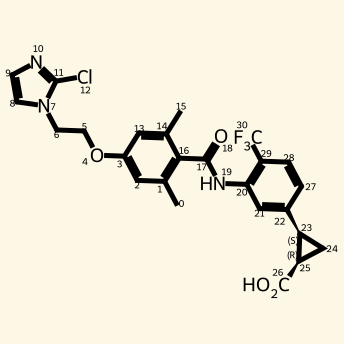 Cc1cc(OCCn2ccnc2Cl)cc(C)c1C(=O)Nc1cc([C@H]2C[C@H]2C(=O)O)ccc1C(F)(F)F